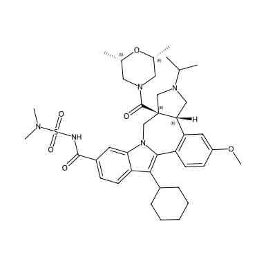 COc1ccc2c(c1)[C@H]1CN(C(C)C)C[C@@]1(C(=O)N1C[C@@H](C)O[C@@H](C)C1)Cn1c-2c(C2CCCCC2)c2ccc(C(=O)NS(=O)(=O)N(C)C)cc21